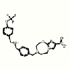 O=[N+]([O-])c1cn2c(n1)OCCN(Cc1ccc(CNCc3ccc(OC(F)(F)F)cc3)cc1)CC2